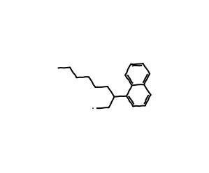 [CH2]CC(CCCCCC)c1cccc2ccccc12